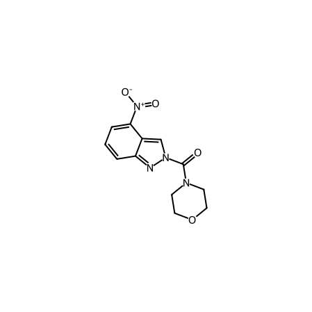 O=C(N1CCOCC1)n1cc2c([N+](=O)[O-])cccc2n1